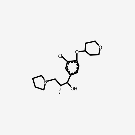 C[C@H](CN1CCCC1)C(O)c1ccc(OC2CCOCC2)c(Cl)c1